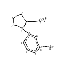 O=C(O)C1CCCN1c1cccc(Br)c1